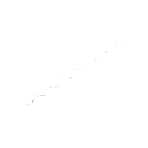 FC=CCCCCCCCCCCCCF